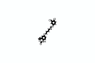 CC1(C)OC(=O)Nc2ccc(OCCCC=NOSc3ccc(Cl)c(Cl)c3)cc21